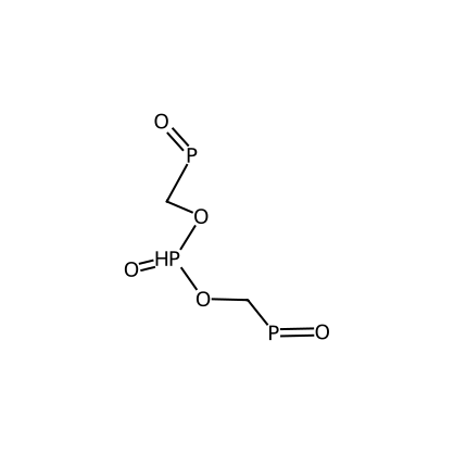 O=PCO[PH](=O)OCP=O